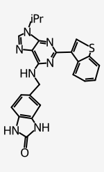 CC(C)n1cnc2c(NCc3ccc4[nH]c(=O)[nH]c4c3)nc(-c3csc4ccccc34)nc21